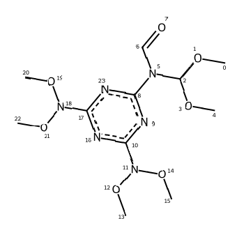 COC(OC)N(C=O)c1nc(N(OC)OC)nc(N(OC)OC)n1